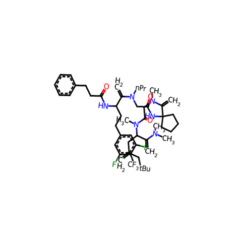 C=C(CC(C(=C)N(C)C)N(C)C(=O)CN(C)C(=C)C1(NC(=O)CN(CCC)C(=C)C(CCc2cc(F)c(C(F)(F)F)c(F)c2)NC(=O)CCc2ccccc2)CCCC1)CC(C)(C)C